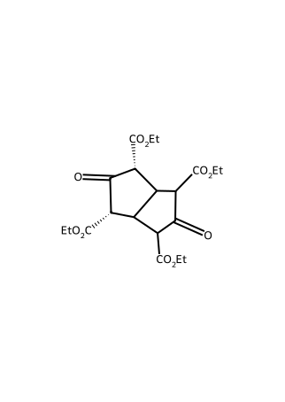 CCOC(=O)C1C(=O)C(C(=O)OCC)C2C1[C@H](C(=O)OCC)C(=O)[C@@H]2C(=O)OCC